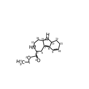 CCOC(=O)C1CC2=C3C=CCCC3NC2CCN1